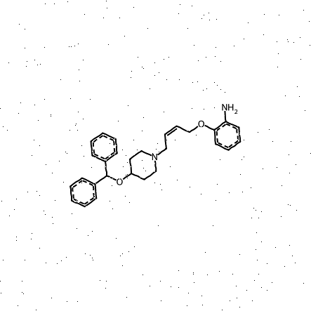 Nc1ccccc1OC/C=C\CN1CCC(OC(c2ccccc2)c2ccccc2)CC1